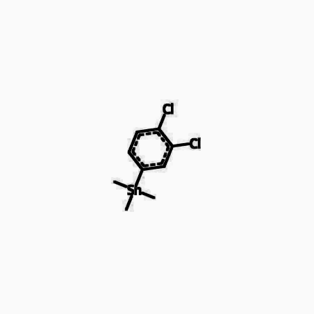 [CH3][Sn]([CH3])([CH3])[c]1ccc(Cl)c(Cl)c1